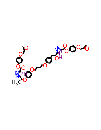 C=C(Oc1ccc(OCCCCOc2ccc(CC(=O)c3nnc(C(=O)Oc4ccc(OCC5CO5)cc4)[pH]3)cc2)cc1)c1nnc(C(=O)Oc2ccc(OCC3CO3)cc2)[pH]1